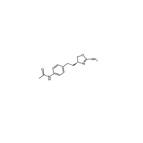 CC(=O)Nc1ccc(CC[C@H]2COC(N)=N2)cc1